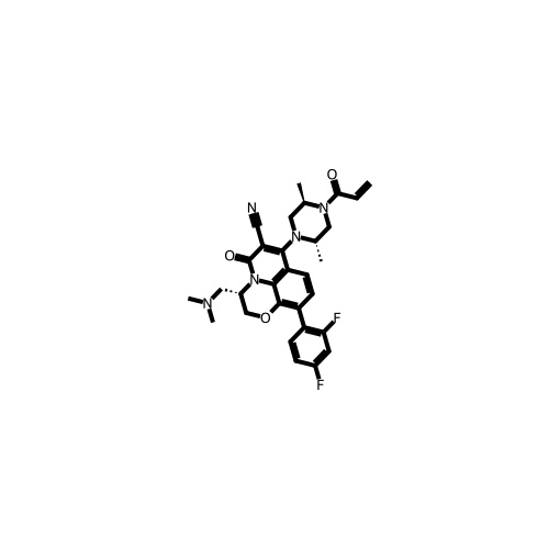 C=CC(=O)N1C[C@H](C)N(c2c(C#N)c(=O)n3c4c(c(-c5ccc(F)cc5F)ccc24)OC[C@@H]3CN(C)C)C[C@H]1C